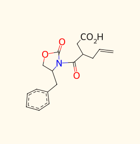 C=CCC(CC(=O)O)C(=O)N1C(=O)OCC1Cc1ccccc1